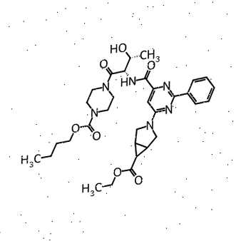 CCCCOC(=O)N1CCN(C(=O)[C@@H](NC(=O)c2cc(N3CC4C(C3)C4C(=O)OCC)nc(-c3ccccc3)n2)[C@@H](C)O)CC1